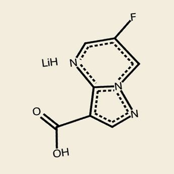 O=C(O)c1cnn2cc(F)cnc12.[LiH]